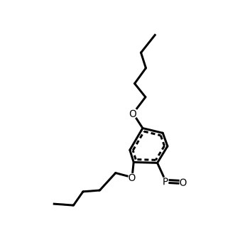 CCCCCOc1ccc(P=O)c(OCCCCC)c1